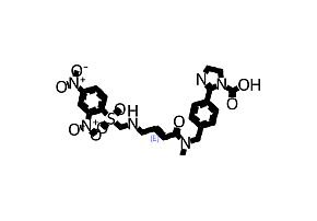 CN(Cc1ccc(C2=NCCN2C(=O)O)cc1)C(=O)/C=C/CNCS(=O)(=O)c1ccc([N+](=O)[O-])cc1[N+](=O)[O-]